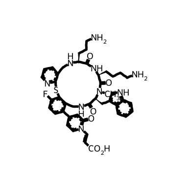 CN1C(=O)[C@H](CCCCN)NC(=O)[C@H](CCCN)NCc2cccnc2Sc2c(F)ccc(-c3ccn(/C=C/C(=O)O)c(=O)c3)c2CNC(=O)[C@@H]1Cc1c[nH]c2ccccc12